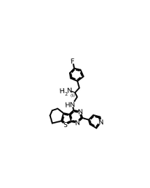 N[C@H](CNc1nc(-c2ccncc2)nc2sc3c(c12)CCCC3)Cc1ccc(F)cc1